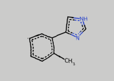 Cc1cc[c]cc1-c1c[nH]cn1